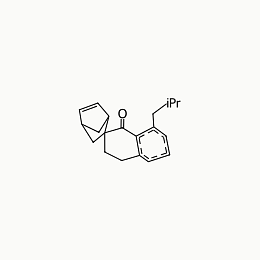 CC(C)Cc1cccc2c1C(=O)C1(CC2)CC2C=CC1C2